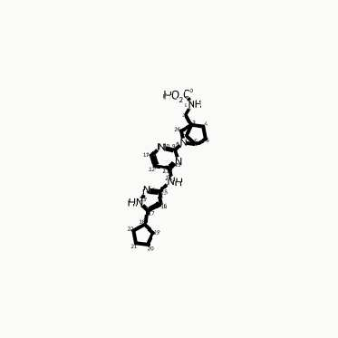 O=C(O)NCC12CCC(C1)N(c1nccc(Nc3cc(C4CCCC4)[nH]n3)n1)C2